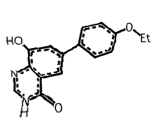 CCOc1ccc(-c2cc(O)c3nc[nH]c(=O)c3c2)cc1